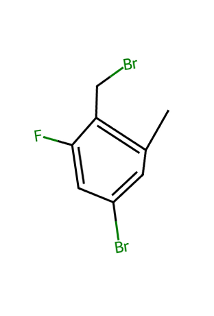 Cc1cc(Br)cc(F)c1CBr